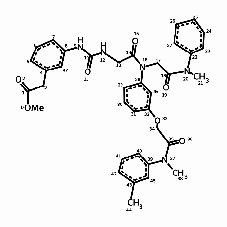 COC(=O)Cc1cccc(NC(=O)NCC(=O)N(CC(=O)N(C)c2ccccc2)c2cccc(OCC(=O)N(C)c3cccc(C)c3)c2)c1